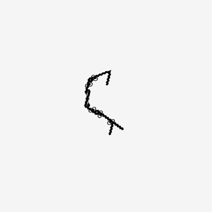 CCCCCCCCC(CCCCCCCC)OC(=O)CCCCCCCC(=O)OC1=CC=C(CC(=O)OCCC2CCN(CCSSCCN3CCC(CCOC(=O)CC4=C=C=C(OC(=O)CCCCCCCC5CC5CCCCCCCC)C=C4)CC3)CC2)CC1